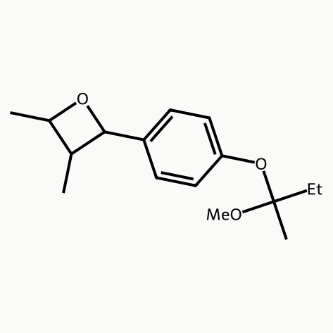 CCC(C)(OC)Oc1ccc(C2OC(C)C2C)cc1